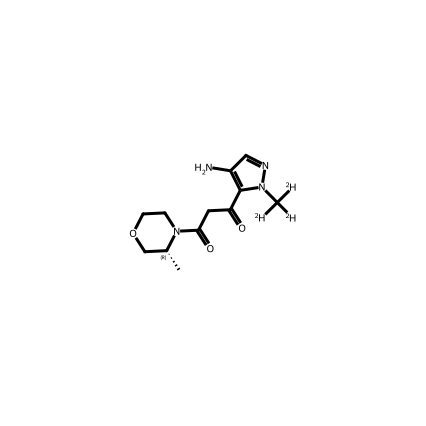 [2H]C([2H])([2H])n1ncc(N)c1C(=O)CC(=O)N1CCOC[C@H]1C